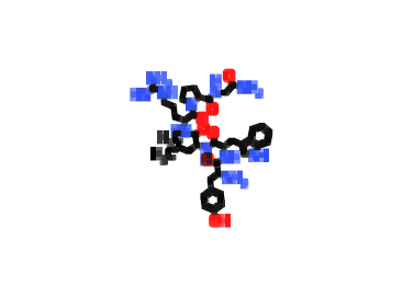 CC(C)C[C@H](NC(=O)[C@@H](Cc1c[nH]c2ccccc12)NC(=O)[C@@H](N)Cc1ccc(O)cc1)C(=O)N[C@@H](CCCNC(=N)N)C(=O)N1CCC[C@H]1C(=O)NCC(N)=O